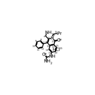 CC(C)Cn1c(CN)c(-c2ccccc2)c2cc(NC(N)=O)ccc2c1=O.Cl